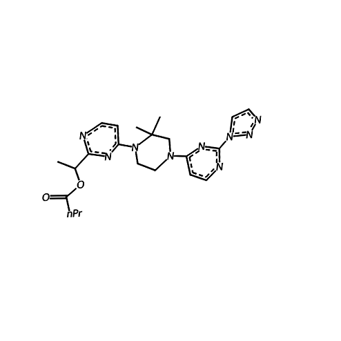 CCCC(=O)OC(C)c1nccc(N2CCN(c3ccnc(-n4ccnn4)n3)CC2(C)C)n1